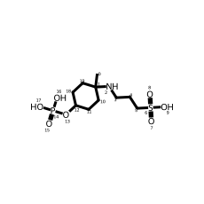 CC1(NCCCS(=O)(=O)O)CCC(OP(=O)(O)O)CC1